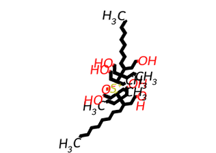 CCCCCCCCCC(CCO)C(CCC)(CCO)C(CC)(CCO)[S+]([O-])C(CC)(CCO)C(CCC)(CCO)C(CCO)CCCCCCCCC